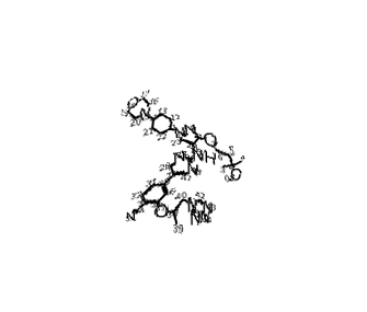 COC(C)(C)CCOc1nn(C2CCC(N3CCOCC3)CC2)cc1Nc1ncc(-c2ccc(C#N)c(OC(C)Cn3cnnn3)c2)cn1